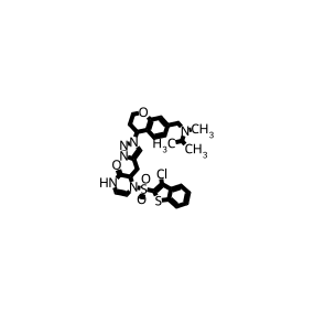 CC(C)N(C)Cc1ccc2c(c1)OCCC2n1cc(CC2C(=O)NC=CN2S(=O)(=O)c2sc3ccccc3c2Cl)nn1